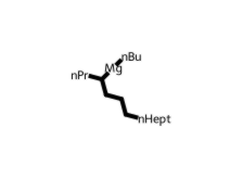 CCCCCCCCCC[CH](CCC)[Mg][CH2]CCC